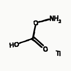 NOC(=O)O.[Ti]